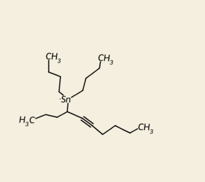 CCCCC#C[CH](CCC)[Sn]([CH2]CCC)[CH2]CCC